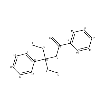 C=C(CC(CC)(CC)c1ccccc1)c1ccccc1